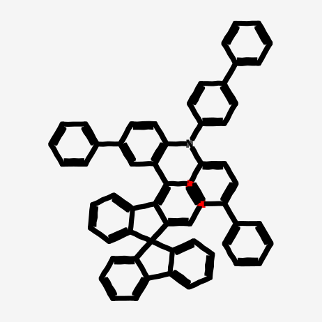 c1ccc(-c2ccc(N(c3ccc(-c4ccccc4)cc3)c3ccc(-c4ccccc4)cc3-c3cccc4c3-c3ccccc3C43c4ccccc4-c4ccccc43)cc2)cc1